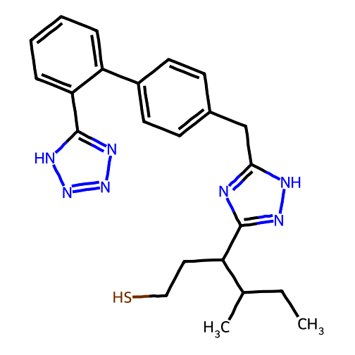 CCC(C)C(CCS)c1n[nH]c(Cc2ccc(-c3ccccc3-c3nnn[nH]3)cc2)n1